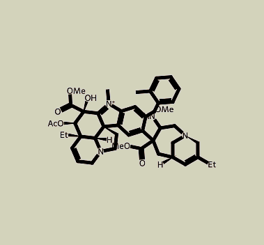 CCC1=C[C@H]2C[N@](C1)CC(Nc1ccccc1C)C(C(=O)OC)(c1cc3c(cc1OC)[N+](C)=C1[C@@](O)(C(=O)OC)[C@H](OC(C)=O)[C@@]4(CC)C=CCN5CC[C@@]13[C@H]54)C2